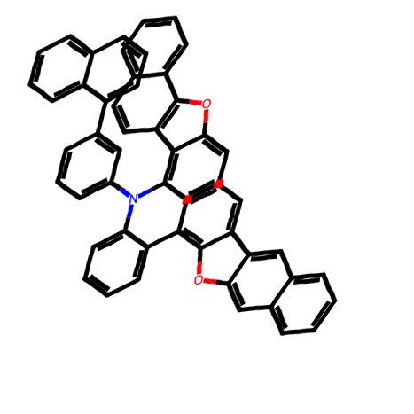 c1cc(-c2cccc3ccccc23)cc(N(c2ccccc2-c2cccc3c2oc2cc4ccccc4cc23)c2cccc3oc4c5ccccc5ccc4c23)c1